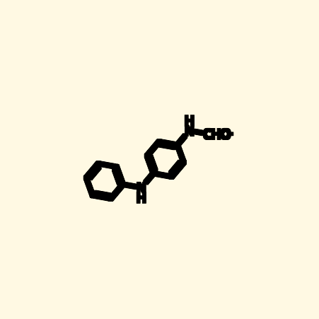 O=[C]Nc1ccc(Nc2ccccc2)cc1